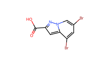 O=C(O)c1cc2c(Br)cc(Br)cn2n1